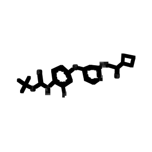 CC(C)(C)OC(=O)Nc1ccc(Oc2ccnc(NC(=O)C3CCC3)c2)cc1F